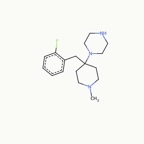 CN1CCC(Cc2ccccc2F)(N2CCNCC2)CC1